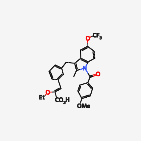 CCOC(=Cc1cccc(Cc2c(C)n(C(=O)c3ccc(OC)cc3)c3ccc(OC(F)(F)F)cc23)c1)C(=O)O